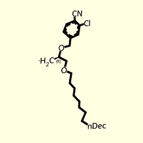 [CH2][C@H](COCCCCCCCCCCCCCCCCCC)OCc1ccc(C#N)c(Cl)c1